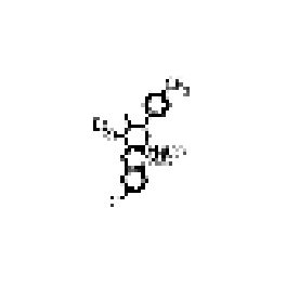 CCOC1c2cc3cc(Cl)ccc3[n+]([O-])c2CC(c2ccc(C(F)(F)F)cc2)C1C.O.O